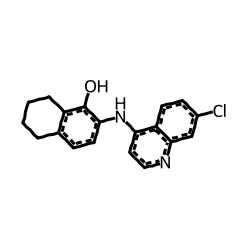 Oc1c(Nc2ccnc3cc(Cl)ccc23)ccc2c1CCCC2